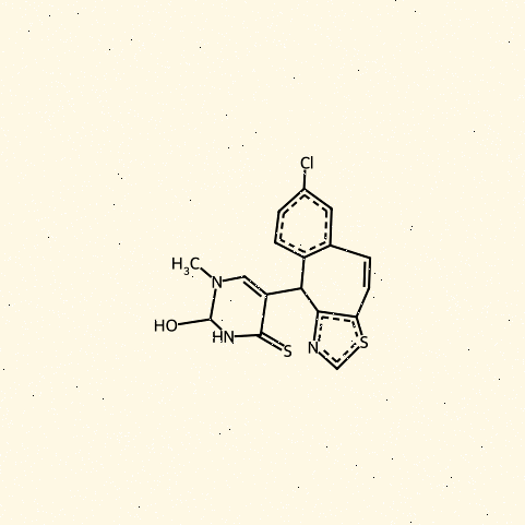 CN1C=C(C2c3ccc(Cl)cc3C=Cc3scnc32)C(=S)NC1O